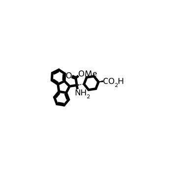 COC(=O)C(N)(C1c2ccccc2-c2ccccc21)[C@H]1CC[C@H](C(=O)O)CC1